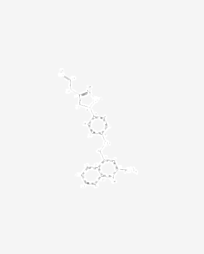 Cc1cc(COc2ccc(C3CC(CC=O)=NO3)cc2)c2ccccc2n1